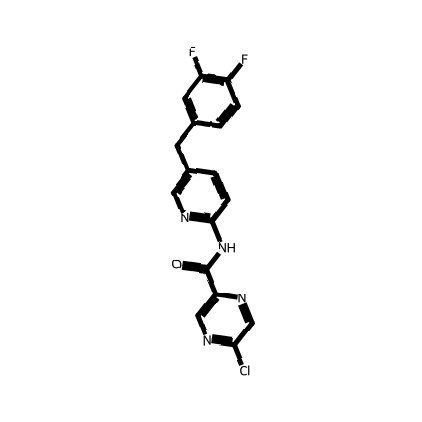 O=C(Nc1ccc(Cc2ccc(F)c(F)c2)cn1)c1cnc(Cl)cn1